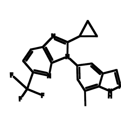 Cc1cc(-n2c(C3CC3)nc3ccc(C(F)(F)F)nc32)cc2cn[nH]c12